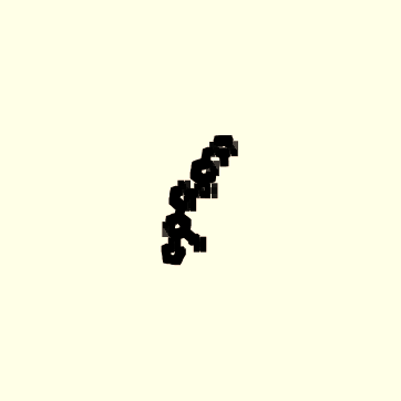 Cc1nccn1Cc1ccc(Nc2nccc(-c3cnc(N4CCCC4)c(C#N)c3)n2)cn1